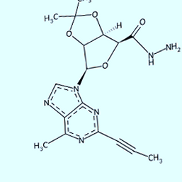 CC#Cc1nc(C)c2ncn([C@@H]3O[C@H](C(=O)NN)[C@@H]4OC(C)(C)OC43)c2n1